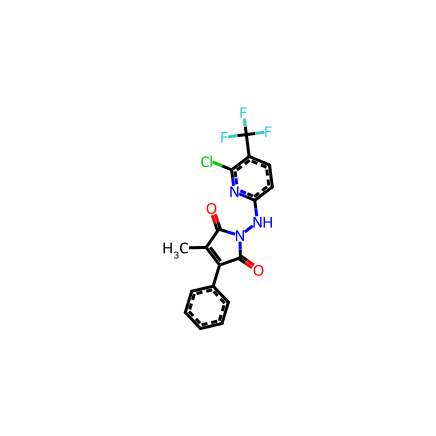 CC1=C(c2ccccc2)C(=O)N(Nc2ccc(C(F)(F)F)c(Cl)n2)C1=O